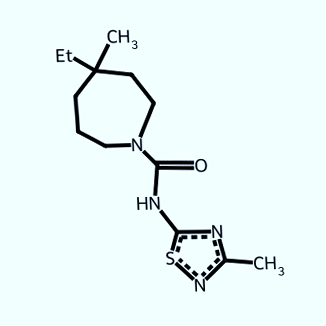 CCC1(C)CCCN(C(=O)Nc2nc(C)ns2)CC1